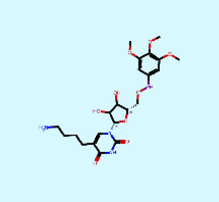 COc1cc(POC[C@@H]2O[C@H](n3cc(CCCCN)c(=O)[nH]c3=O)C(O)C2O)cc(OC)c1OC